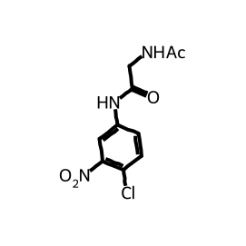 CC(=O)NCC(=O)Nc1ccc(Cl)c([N+](=O)[O-])c1